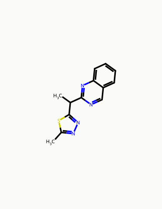 Cc1nnc(C(C)c2ncc3ccccc3n2)s1